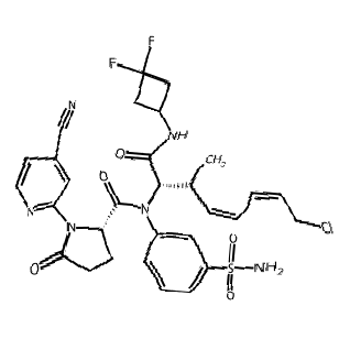 CC(/C=C\C=C/CCl)[C@@H](C(=O)NC1CC(F)(F)C1)N(C(=O)[C@@H]1CCC(=O)N1c1cc(C#N)ccn1)c1cccc(S(N)(=O)=O)c1